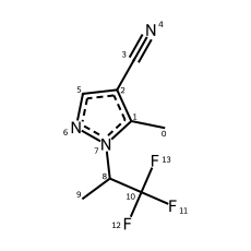 Cc1c(C#N)cnn1C(C)C(F)(F)F